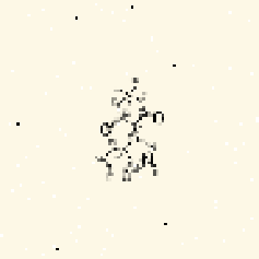 CN1CS(=C2C(=O)CC(C)(C)CC2=O)c2ccccc21